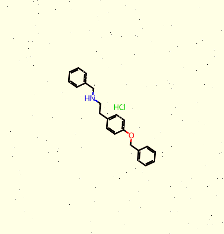 Cl.c1ccc(CNCCc2ccc(OCc3ccccc3)cc2)cc1